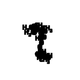 COc1cc(-c2cn(C)c(=O)c3c2CCN(C(=O)NCCOCCOCCNc2cccc4nc(C)n(C5CCC(=O)NC5=O)c(=O)c24)C3)cc(OC)c1CN(C)C